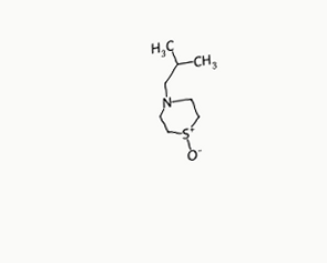 CC(C)CN1CC[S+]([O-])CC1